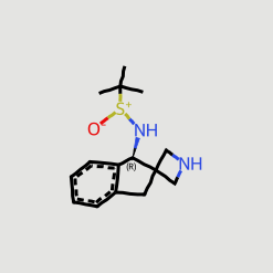 CC(C)(C)[S+]([O-])N[C@@H]1c2ccccc2CC12CNC2